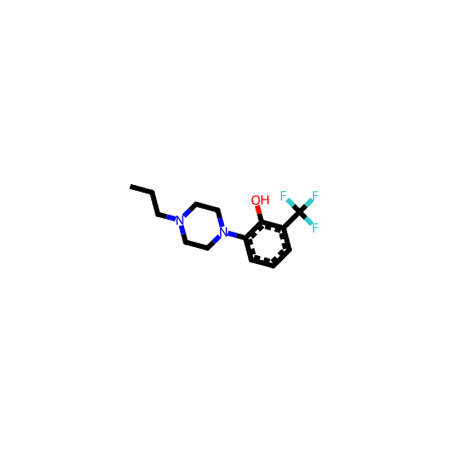 CCCN1CCN(c2cccc(C(F)(F)F)c2O)CC1